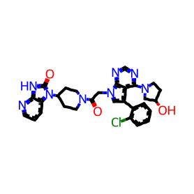 O=C(Cn1cc(-c2ccccc2Cl)c2c(N3CCC(O)C3)ncnc21)N1CCC(n2c(=O)[nH]c3ncccc32)CC1